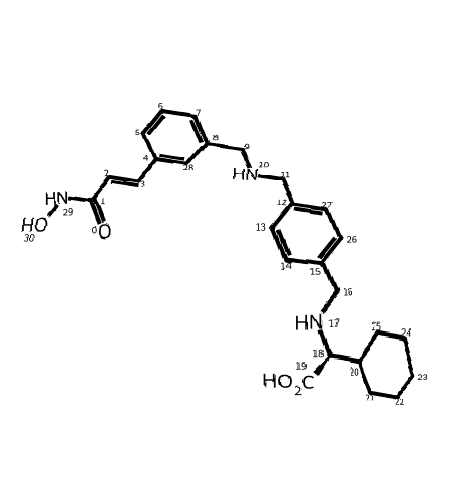 O=C(/C=C/c1cccc(CNCc2ccc(CN[C@H](C(=O)O)C3CCCCC3)cc2)c1)NO